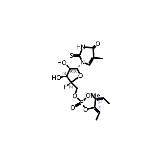 C/C=C(C)\C(=C\C)OP(=O)(OC)OC[C@@]1(F)O[C@@H](n2cc(C)c(=O)[nH]c2=S)[C@H](O)[C@@H]1O